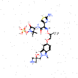 C[n+]1c2ccc(OCC(O/N=C(\C(=O)N[C@@H]3C(=O)N(OS(=O)(=O)[O-])C3(C)C)c3csc(N)n3)C(=O)O)cc2cn1CC1(O)CNC1